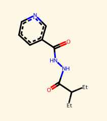 CCC(CC)C(=O)NNC(=O)c1cccnc1